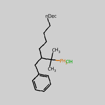 CCCCCCCCCCCCCCC(Cc1ccccc1)C(C)(C)P.Cl